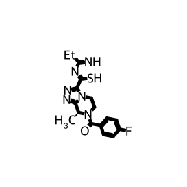 CCC(=N)/N=C(\S)c1nnc2n1CCN(C(=O)c1ccc(F)cc1)[C@@H]2C